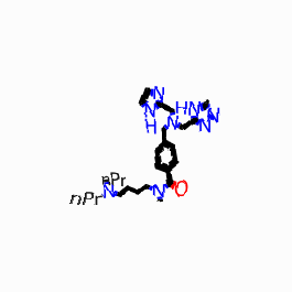 CCCN(CCC)CCCCN(C)C(=O)c1ccc(CN(Cc2ncc[nH]2)Cc2nnc[nH]2)cc1